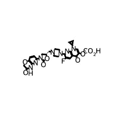 O=C1COc2ccc(N3C[C@H](CN4CCN(c5nc6c(cc5F)c(=O)c(OC(=O)O)cn6C5CC5)CC4)OC3=O)nc2N1